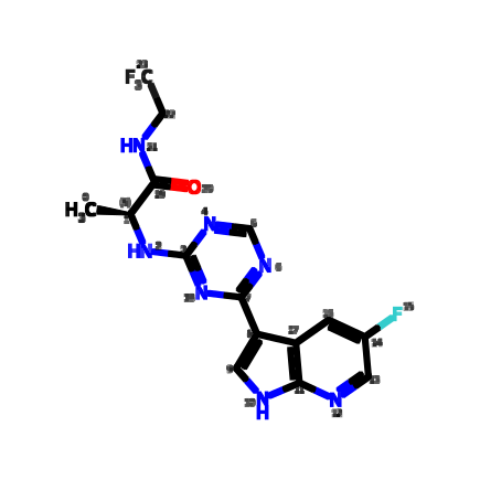 C[C@H](Nc1ncnc(-c2c[nH]c3ncc(F)cc23)n1)C(=O)NCC(F)(F)F